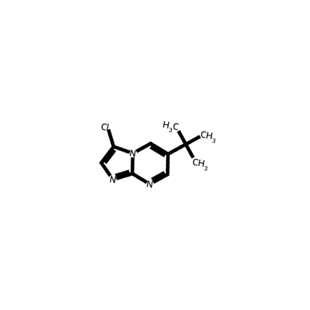 CC(C)(C)c1cnc2ncc(Cl)n2c1